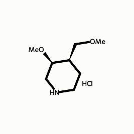 COC[C@H]1CCNC[C@H]1OC.Cl